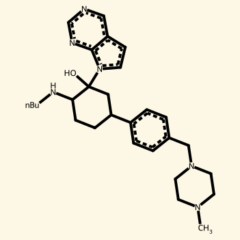 CCCCNC1CCC(c2ccc(CN3CCN(C)CC3)cc2)CC1(O)n1ccc2cncnc21